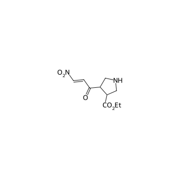 CCOC(=O)C1CNCC1C(=O)/C=C/[N+](=O)[O-]